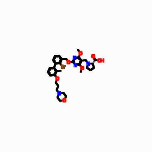 COc1nc(OCc2cccc(-c3cccc(OCCCN4CCOCC4)c3C)c2Br)nc(OC)c1CN1CCC[C@H]1C(=O)O